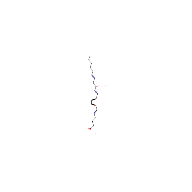 CCCCC/C=C/CC(O)/C=C/c1ccc(/C=C/CCCC(=O)O)o1